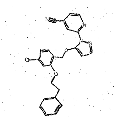 N#Cc1ccnc(-n2nccc2OCc2ccc(Cl)cc2OCCc2ccccc2)c1